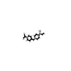 CCNN1CCN(CC2CCN(C(C)C)CC2)CC1